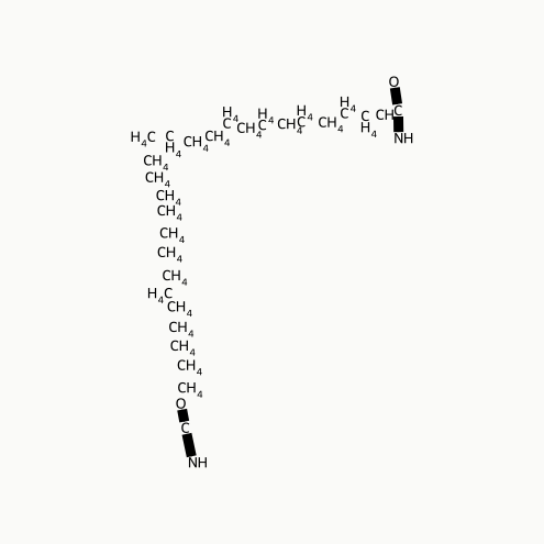 C.C.C.C.C.C.C.C.C.C.C.C.C.C.C.C.C.C.C.C.C.C.C.C.C.C.N=C=O.N=C=O